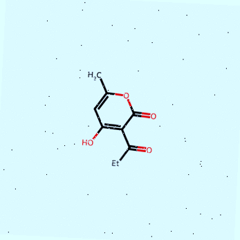 CCC(=O)c1c(O)cc(C)oc1=O